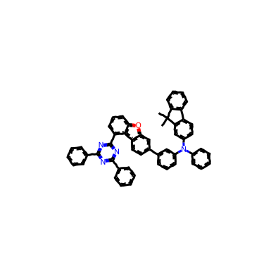 CC1(C)c2ccccc2-c2ccc(N(c3ccccc3)c3cccc(-c4ccc5c(c4)oc4cccc(-c6nc(-c7ccccc7)nc(-c7ccccc7)n6)c45)c3)cc21